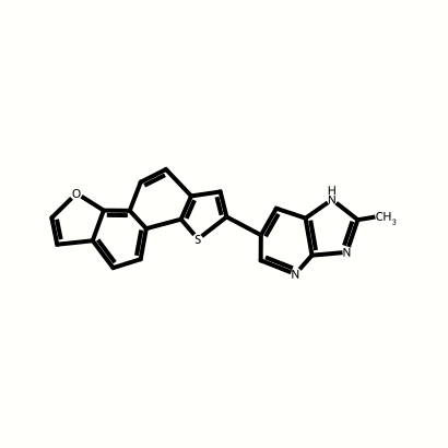 Cc1nc2ncc(-c3cc4ccc5c(ccc6ccoc65)c4s3)cc2[nH]1